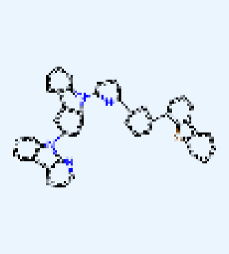 c1cc(-c2cccc(-n3c4ccccc4c4cc(-n5c6ccccc6c6cccnc65)ccc43)n2)cc(-c2cccc3c2sc2ccccc23)c1